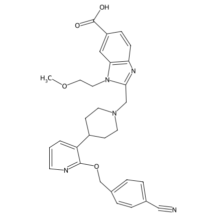 COCCn1c(CN2CCC(c3cccnc3OCc3ccc(C#N)cc3)CC2)nc2ccc(C(=O)O)cc21